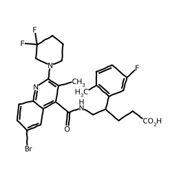 Cc1ccc(F)cc1C(CCC(=O)O)CNC(=O)c1c(C)c(N2CCCC(F)(F)C2)nc2ccc(Br)cc12